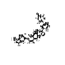 CN1CCN(c2cc(C(=O)Nc3cc4nc(-c5cnc6[nH]ccc6c5)ccc4cn3)ccn2)CC1